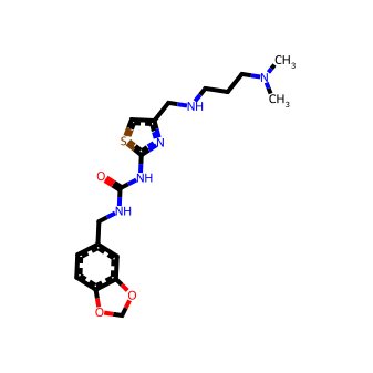 CN(C)CCCNCc1csc(NC(=O)NCc2ccc3c(c2)OCO3)n1